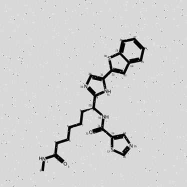 CNC(=O)CCCCC[C@H](NC(=O)c1cncs1)c1ncc(-c2cc3ccccc3s2)[nH]1